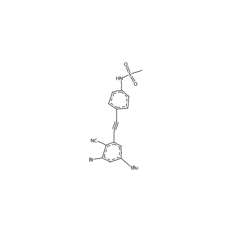 CC(C)(C)c1cc(Br)c(C#N)c(C#Cc2ccc(NS(C)(=O)=O)cc2)c1